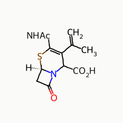 C=C(C)C1=C(NC(C)=O)S[C@@H]2CC(=O)N2C1C(=O)O